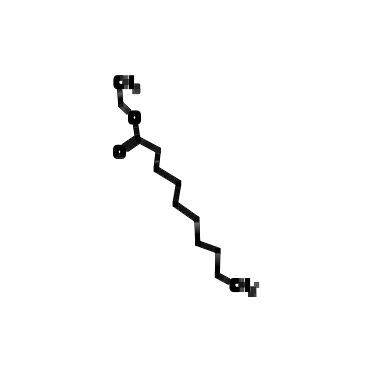 [CH2]CCCCCCCCC(=O)OCC